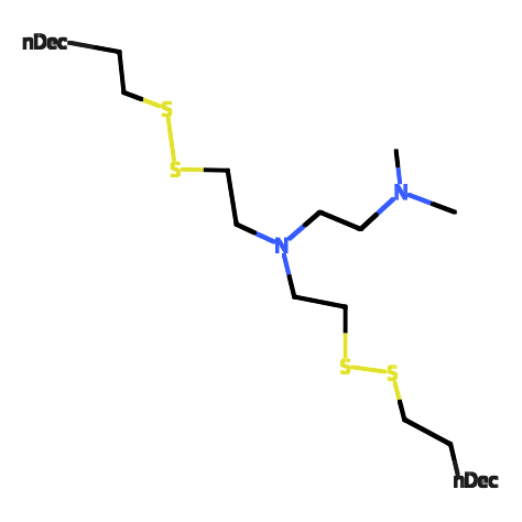 CCCCCCCCCCCCSSCCN(CCSSCCCCCCCCCCCC)CCN(C)C